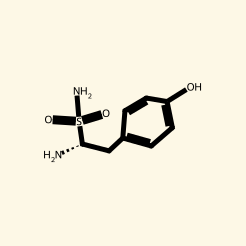 N[C@@H](Cc1ccc(O)cc1)S(N)(=O)=O